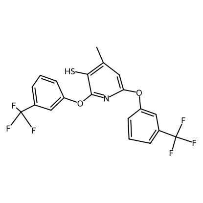 Cc1cc(Oc2cccc(C(F)(F)F)c2)nc(Oc2cccc(C(F)(F)F)c2)c1S